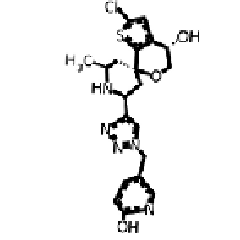 C[C@H]1C[C@@]2(C[C@@H](c3cn(Cc4ccc(O)nc4)nn3)N1)OC[C@@H](O)c1cc(Cl)sc12